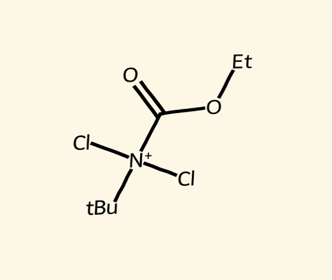 CCOC(=O)[N+](Cl)(Cl)C(C)(C)C